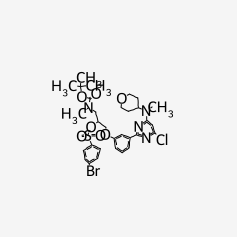 CN(CC(COc1cccc(-c2nc(Cl)cc(N(C)C3CCOCC3)n2)c1)OS(=O)(=O)c1ccc(Br)cc1)C(=O)OC(C)(C)C